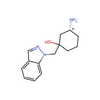 N[C@@H]1CCCC(O)(Cn2ncc3ccccc32)C1